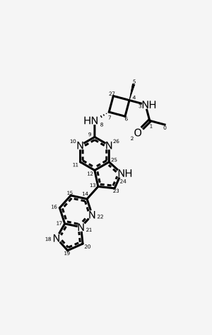 CC(=O)N[C@]1(C)C[C@H](Nc2ncc3c(-c4ccc5nccn5n4)c[nH]c3n2)C1